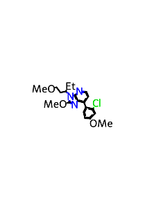 CCC(CCOC)n1c(OC)nc2c(-c3ccc(OC)cc3Cl)ccnc21